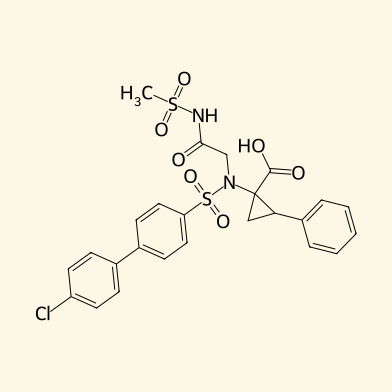 CS(=O)(=O)NC(=O)CN(C1(C(=O)O)CC1c1ccccc1)S(=O)(=O)c1ccc(-c2ccc(Cl)cc2)cc1